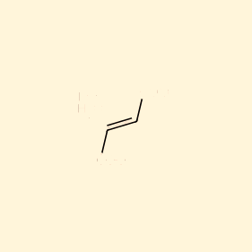 O.O=C([O-])C=CC(=O)[O-].[Pb+2]